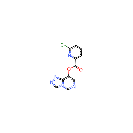 O=C(Oc1cncn2cnnc12)c1cccc(Cl)n1